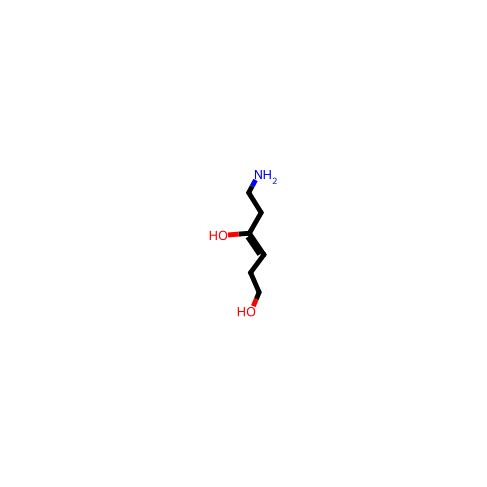 NCCC(O)=CCCO